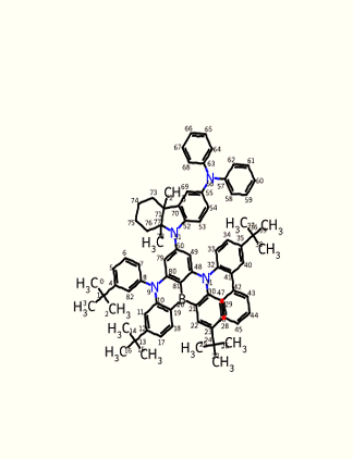 CC(C)(C)c1cccc(N2c3cc(C(C)(C)C)ccc3B3c4cc(C(C)(C)C)ccc4N(c4ccc(C(C)(C)C)cc4-c4ccccc4)c4cc(N5c6ccc(N(c7ccccc7)c7ccccc7)cc6C6(C)CCCCC56C)cc2c43)c1